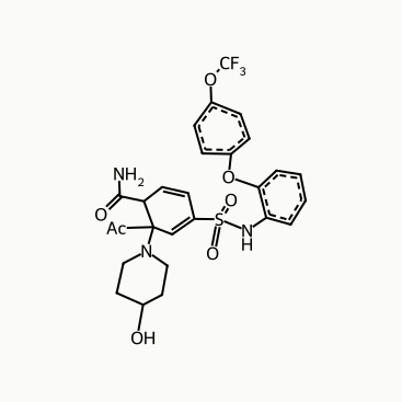 CC(=O)C1(N2CCC(O)CC2)C=C(S(=O)(=O)Nc2ccccc2Oc2ccc(OC(F)(F)F)cc2)C=CC1C(N)=O